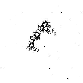 O=C(N[C@H]1CC[C@@H](Nc2cc(C(F)(F)F)nc3ccccc23)CC1)c1ccnc(C(F)(F)F)c1